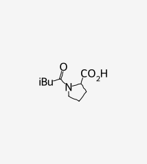 CCC(C)C(=O)N1CCCC1C(=O)O